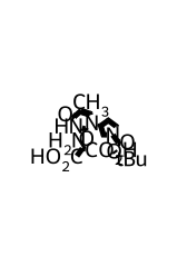 Cc1cn([C@H]2CCN(C(=O)OC(C)(C)C)C2)c(=O)[nH]c1=O.NC(C(=O)O)C(=O)O